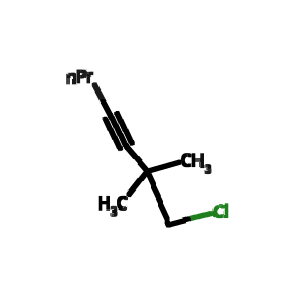 CCCC#CC(C)(C)CCl